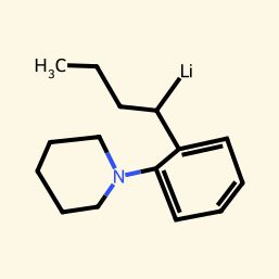 [Li][CH](CCC)c1ccccc1N1CCCCC1